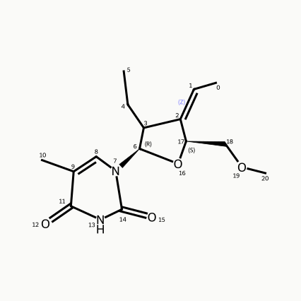 C/C=C1/C(CC)[C@H](n2cc(C)c(=O)[nH]c2=O)O[C@@H]1COC